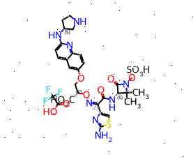 CC1(C)[C@H](NC(=O)/C(=N\O[C@@H](COc2ccc3nc(N[C@H]4CCNC4)ccc3c2)C(=O)O)c2csc(N)n2)C(=O)N1OS(=O)(=O)O.O=C(O)C(F)(F)F